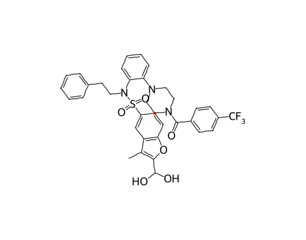 Cc1c(C(O)O)oc2ccc(S(=O)(=O)N(CCc3ccccc3)c3ccccc3N3CCN(C(=O)c4ccc(C(F)(F)F)cc4)CC3)cc12